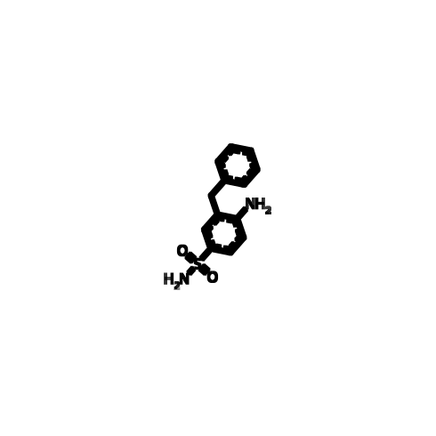 Nc1ccc(S(N)(=O)=O)cc1Cc1ccccc1